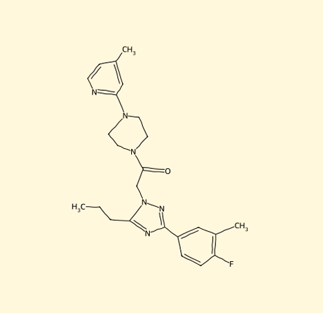 CCCc1nc(-c2ccc(F)c(C)c2)nn1CC(=O)N1CCN(c2cc(C)ccn2)CC1